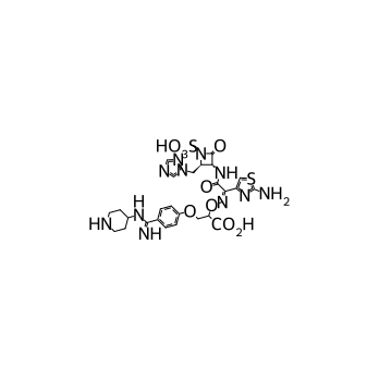 N=C(NC1CCNCC1)c1ccc(OCC(O/N=C(\C(=O)N[C@@H]2C(=O)N(S(=O)(=O)O)[C@@H]2Cn2cncn2)c2csc(N)n2)C(=O)O)cc1